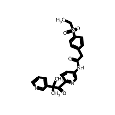 CCS(=O)(=O)c1ccc(CC(=O)Nc2ccc(C(=O)C(C)(C)c3cccnc3)nc2)cc1